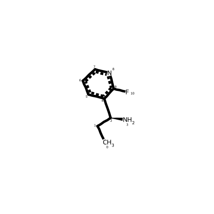 CC[C@H](N)c1cccnc1F